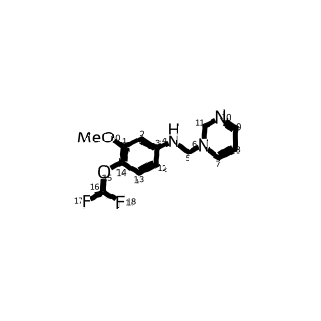 COc1cc(NCN2C=CC=NC2)ccc1OC(F)F